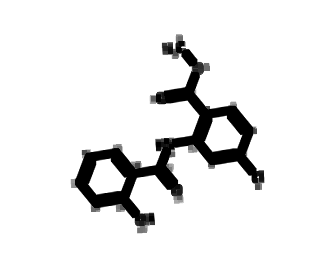 COC(=O)c1ccc(Cl)cc1NC(=O)c1c[c]ccc1O